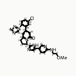 COCCNc1ccc(-c2cnc([C@@H]3CCc4cc(-c5cc(Cl)ccc5-n5cnnn5)cc(=O)n43)[nH]2)cn1